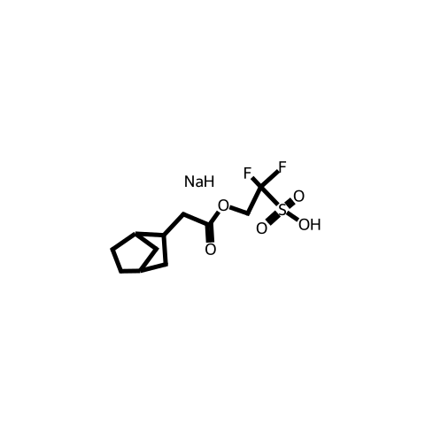 O=C(CC1CC2CCC1C2)OCC(F)(F)S(=O)(=O)O.[NaH]